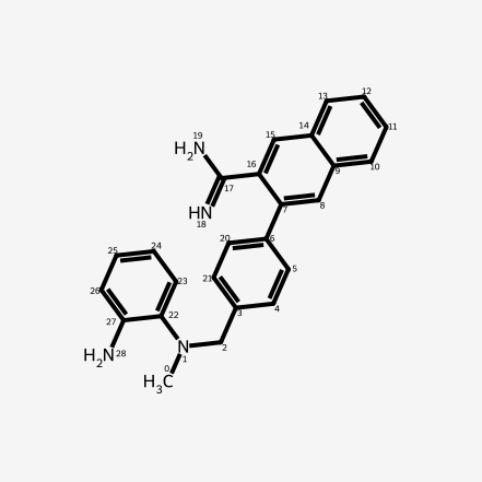 CN(Cc1ccc(-c2cc3ccccc3cc2C(=N)N)cc1)c1ccccc1N